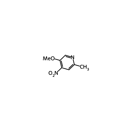 COc1cnc(C)cc1[N+](=O)[O-]